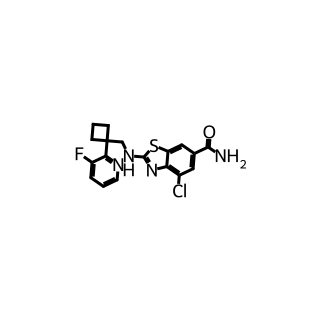 NC(=O)c1cc(Cl)c2nc(NCC3(c4ncccc4F)CCC3)sc2c1